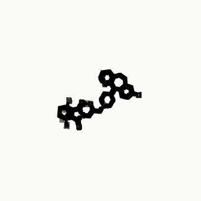 O=C1C2C(C(=O)N1CC(O)CN1CCC(=C3c4ccc(Cl)cc4CCc4cccnc43)CC1)[C@H]1CC[C@@H]2C1